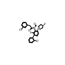 O=C(Cc1cccc(Cl)c1)N(C(=O)[C@@H]1C[C@@H](F)CN1)c1cccc(-c2ccccc2Cl)c1F